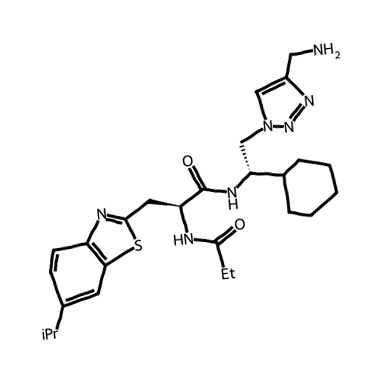 CCC(=O)N[C@@H](Cc1nc2ccc(C(C)C)cc2s1)C(=O)N[C@H](Cn1cc(CN)nn1)C1CCCCC1